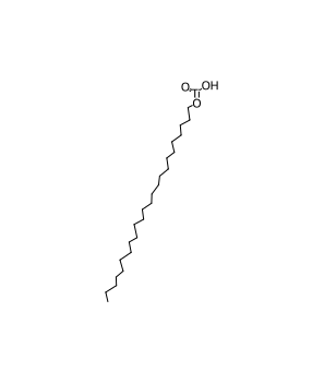 CCCCCCCCCCCCCCCCCCCCCCCC[O][Ti](=[O])[OH]